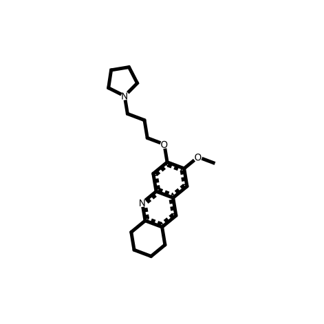 COc1cc2cc3c(nc2cc1OCCCN1CCCC1)CCCC3